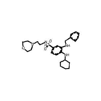 O=S(=O)(NCCN1CCOCC1)c1ccc(NC2CCCCC2)c(NCc2ccccc2)c1